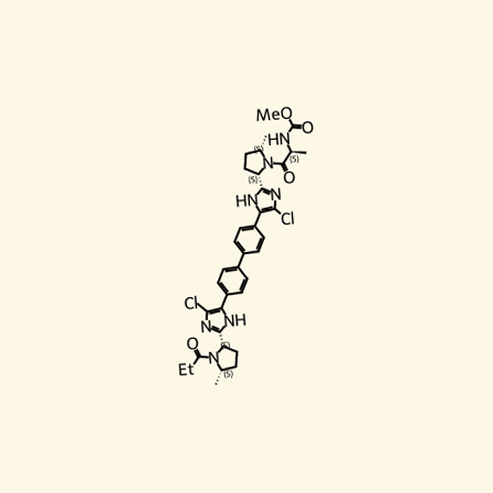 CCC(=O)N1[C@@H](C)CC[C@H]1c1nc(Cl)c(-c2ccc(-c3ccc(-c4[nH]c([C@@H]5CC[C@H](C)N5C(=O)[C@H](C)NC(=O)OC)nc4Cl)cc3)cc2)[nH]1